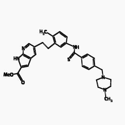 COC(=O)c1cc2cc(CCc3cc(NC(=S)c4ccc(CN5CCN(C)CC5)cc4)ccc3C)cnc2[nH]1